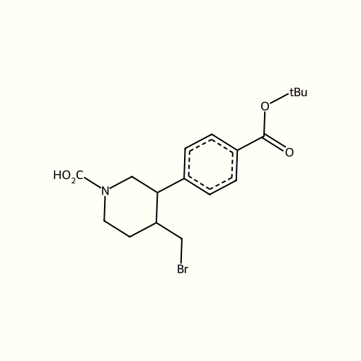 CC(C)(C)OC(=O)c1ccc(C2CN(C(=O)O)CCC2CBr)cc1